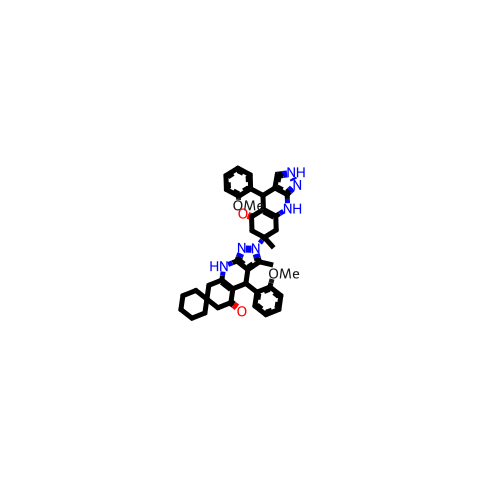 COc1ccccc1C1C2=C(CC(C)(n3nc4c(c3C)C(c3ccccc3OC)C3=C(CC5(CCCCC5)CC3=O)N4)CC2=O)Nc2n[nH]cc21